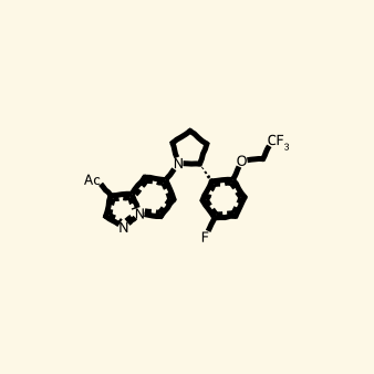 CC(=O)c1cnn2ccc(N3CCC[C@@H]3c3cc(F)ccc3OCC(F)(F)F)cc12